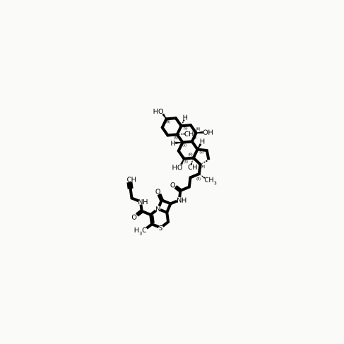 C#CCNC(=O)C1=C(C)SCC2C(NC(=O)CC[C@@H](C)[C@H]3CC[C@H]4C5[C@H](O)C[C@@H]6C[C@H](O)CC[C@]6(C)[C@H]5C[C@H](O)[C@]34C)C(=O)N12